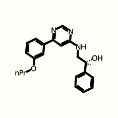 CCCOc1cccc(-c2cc(NC[C@H](O)c3ccccc3)ncn2)c1